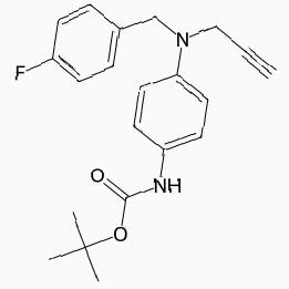 C#CCN(Cc1ccc(F)cc1)c1ccc(NC(=O)OC(C)(C)C)cc1